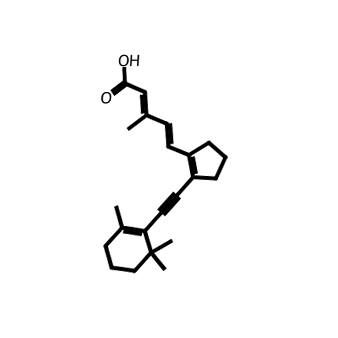 CC1=C(C#CC2=C(/C=C/C(C)=C/C(=O)O)CCC2)C(C)(C)CCC1